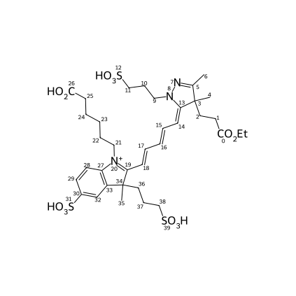 CCOC(=O)CCC1(C)C(C)=NN(CCCS(=O)(=O)O)\C1=C/C=C/C=C/C1=[N+](CCCCCC(=O)O)c2ccc(S(=O)(=O)O)cc2C1(C)CCCS(=O)(=O)O